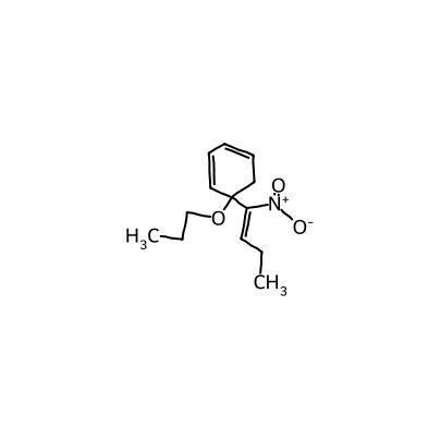 CC/C=C(\[N+](=O)[O-])C1(OCCC)C=CC=CC1